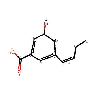 CC/C=C\C1=CC(C(=O)O)=CC(Br)C1